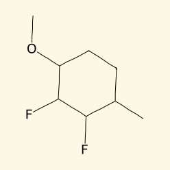 COC1CCC(C)C(F)C1F